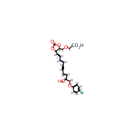 O=C(O)COCC1OC(=O)OC1/C=C/C=C/C#C/C=C/[C@@H](O)COc1ccc(F)cc1